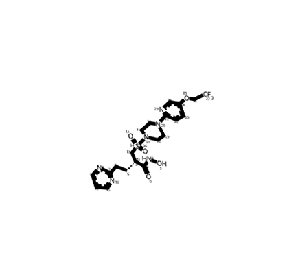 O=C(NO)[C@H](CCc1ncccn1)CS(=O)(=O)N1CCN(c2ccc(OCC(F)(F)F)cn2)CC1